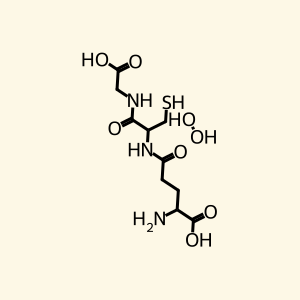 NC(CCC(=O)NC(CS)C(=O)NCC(=O)O)C(=O)O.OO